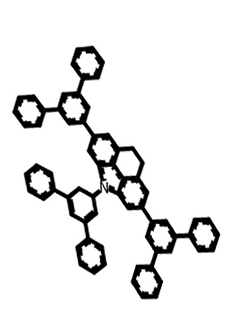 C1=C(c2ccccc2)C=C(c2ccccc2)CC1n1c2cc(-c3cc(-c4ccccc4)cc(-c4ccccc4)c3)cc3c2c2c(cc(-c4cc(-c5ccccc5)cc(-c5ccccc5)c4)cc21)CC3